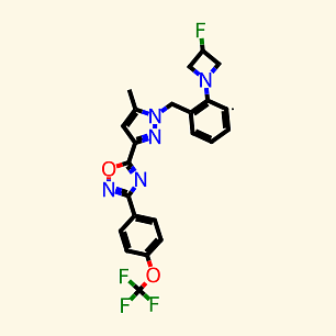 Cc1cc(-c2nc(-c3ccc(OC(F)(F)F)cc3)no2)nn1Cc1ccc[c]c1N1CC(F)C1